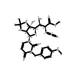 COC(=O)[C@@H](N=[N+]=[N-])[C@H](O)[C@H]1O[C@@H](n2ccc(=O)n(Cc3ccc(OC)cc3)c2=O)C2OC(C)(C)O[C@H]21